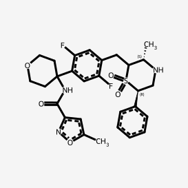 Cc1cc(C(=O)NC2(c3cc(F)c(CC4[C@H](C)NC[C@@H](c5ccccc5)S4(=O)=O)cc3F)CCOCC2)no1